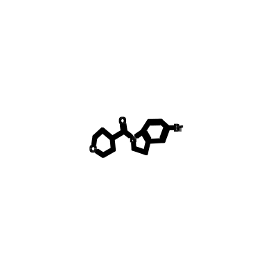 O=C(C1CCOCC1)N1CCc2cc(Br)ccc21